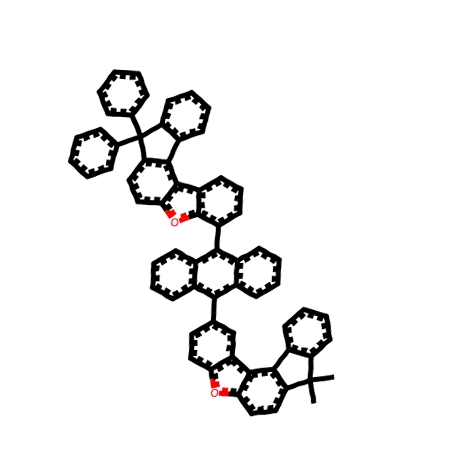 CC1(C)c2ccccc2-c2c1ccc1oc3ccc(-c4c5ccccc5c(-c5cccc6c5oc5ccc7c(c56)-c5ccccc5C7(c5ccccc5)c5ccccc5)c5ccccc45)cc3c21